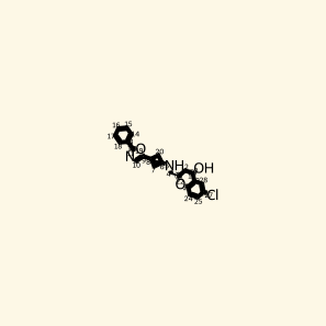 O[C@@H]1C[C@H](CNC23CC(c4cnc(-c5ccccc5)o4)(C2)C3)Oc2ccc(Cl)cc21